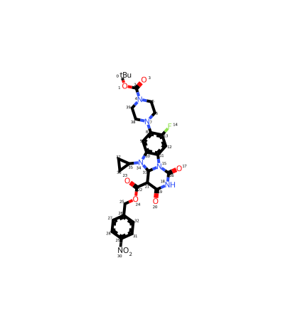 CC(C)(C)OC(=O)N1CCN(c2cc3c(cc2F)N2C(=O)NC(=O)C(C(=O)OCc4ccc([N+](=O)[O-])cc4)C2N3C2CC2)CC1